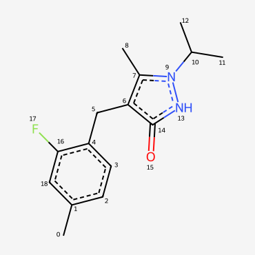 Cc1ccc(Cc2c(C)n(C(C)C)[nH]c2=O)c(F)c1